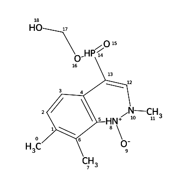 Cc1ccc2c(c1C)[NH+]([O-])N(C)C=C2[PH](=O)OCO